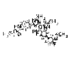 CCOC(=O)[C@@H]1CC2(CCN(c3cc(O[C@H](c4ccc(-c5ccc(F)c(OCC)c5)cc4-n4ccc(C)n4)C(F)(F)F)nc(N)n3)CC2)CN1